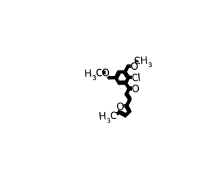 COCc1cc(COC)c(Cl)c(C(=O)/C=C/c2ccc(C)o2)c1